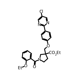 CCOC(=O)C1(COc2ccc(-c3ncc(Cl)cn3)cc2)CCN(C(=O)c2ccccc2OCC)C1